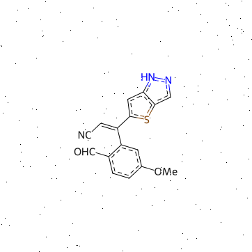 COc1ccc(C=O)c(C(=CC#N)c2cc3[nH]ncc3s2)c1